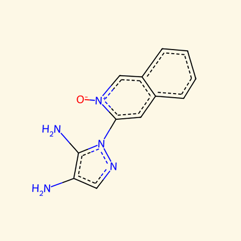 Nc1cnn(-c2cc3ccccc3c[n+]2[O-])c1N